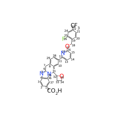 O=C(O)c1ccc2nc(Cc3ccc(-c4cccc(OCc5ccc(C(F)(F)F)cc5F)n4)cc3)n(CC3CCO3)c2c1